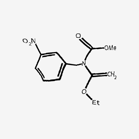 C=C(OCC)N(C(=O)OC)c1cccc([N+](=O)[O-])c1